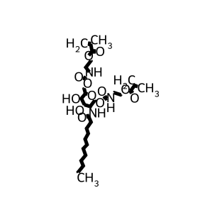 C=C(C)C(=O)OCCNC(=O)OCC1O[C@@H](OC(=O)NCCOC(=O)C(=C)C)[C@@H](NC(=O)CCCCCCCCCCC)C(O)[C@@H]1O